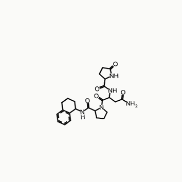 NC(=O)CC(NC(=O)C1CCC(=O)N1)C(=O)N1CCCC1C(=O)NC1CCCc2ccccc21